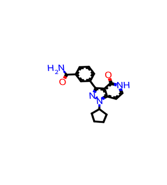 NC(=O)c1cccc(-c2nn(C3CCCC3)c3cc[nH]c(=O)c23)c1